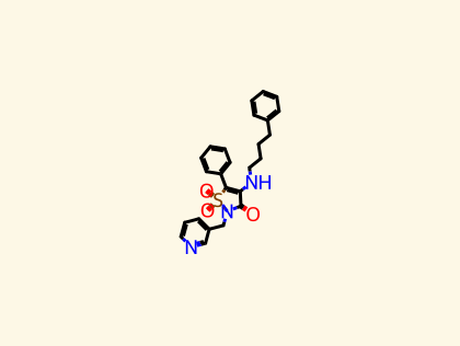 O=C1C(NCCCCc2ccccc2)=C(c2ccccc2)S(=O)(=O)N1Cc1cccnc1